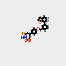 O=C1CC(c2ccc(OCc3cccc(-c4cccc5c4OCC5)c3)cc2)CS(=O)(=O)N1